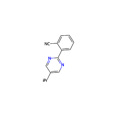 CC(C)c1cnc(-c2ccccc2C#N)nc1